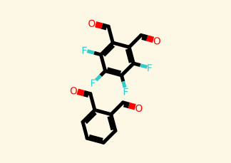 O=Cc1c(F)c(F)c(F)c(F)c1C=O.O=Cc1ccccc1C=O